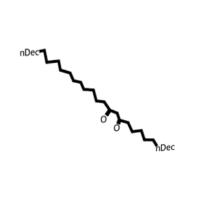 CCCCCCCCCCCCCCCCCCCCCC(=O)CC(=O)CCCCCCCCCCCCCCC